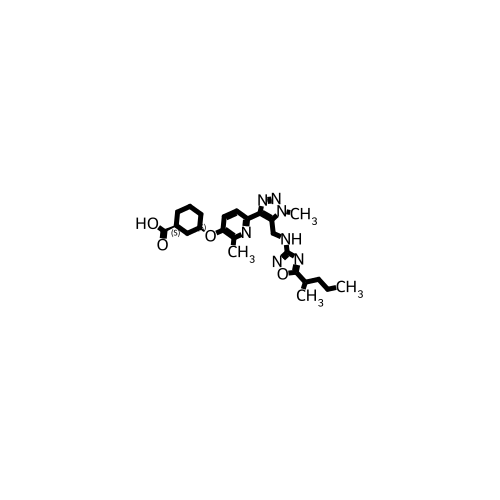 CCCC(C)c1nc(NCc2c(-c3ccc(O[C@H]4CCC[C@H](C(=O)O)C4)c(C)n3)nnn2C)no1